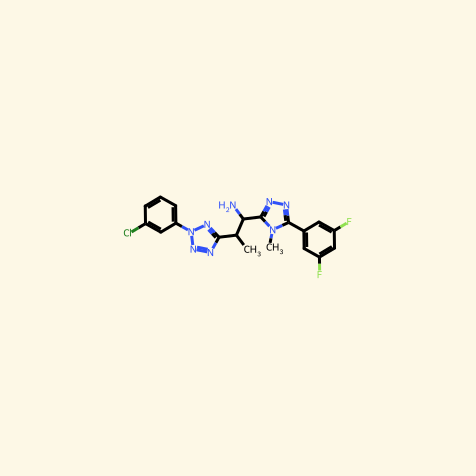 CC(c1nnn(-c2cccc(Cl)c2)n1)C(N)c1nnc(-c2cc(F)cc(F)c2)n1C